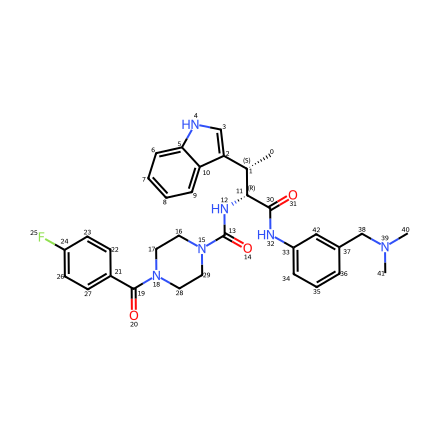 C[C@@H](c1c[nH]c2ccccc12)[C@@H](NC(=O)N1CCN(C(=O)c2ccc(F)cc2)CC1)C(=O)Nc1cccc(CN(C)C)c1